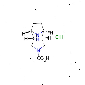 Cl.O=C(O)N1C[C@@H]2[C@H](C1)[C@@H]1CC[C@H]2N1